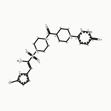 C/C(=C\c1ccc(Cl)s1)S(=O)(=O)N1CCN(C(=O)C2CCN(c3ccc(=O)[nH]n3)CC2)CC1